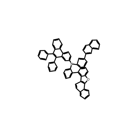 c1ccc(-c2c(-c3ccccc3)c3cc(N(c4cccc(-c5ccc6ccccc6c5)c4)c4ccccc4-c4cccc5oc6c7ccccc7ccc6c45)ccc3c3ccccc23)cc1